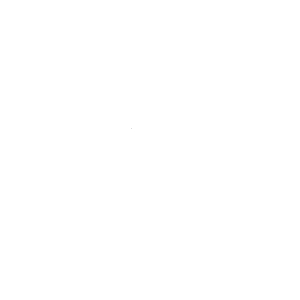 O=C(Nc1ccc(F)c(Cl)c1)C(Cl)c1cccc(Cl)c1